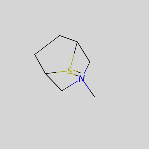 C=S1C2CCC1CN(C)C2